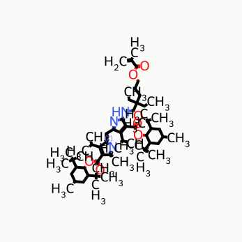 C=C(C)C(=O)OCCCC(CC)(CC)C(=O)NC1N=C(/C=C2\N=C(C)C(C(=O)OC3C(C(C)(C)C)CC(C)CC3C(C)(C)C)=C2C(C)C)C(C(C)C)=C1C(=O)OC1C(C(C)(C)C)CC(C)CC1C(C)(C)C